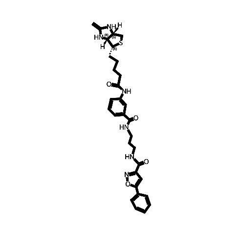 C=C1N[C@@H]2[C@@H](CS[C@@H]2CCCCC(=O)Nc2cccc(C(=O)NCCCNC(=O)c3cc(-c4ccccc4)on3)c2)N1